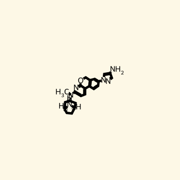 CN(c1ccc2c(n1)OCc1cc(-n3cc(N)cn3)ccc1-2)[C@@H]1C[C@H]2CC[C@@H](C1)N2